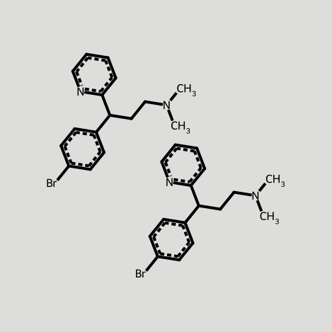 CN(C)CCC(c1ccc(Br)cc1)c1ccccn1.CN(C)CCC(c1ccc(Br)cc1)c1ccccn1